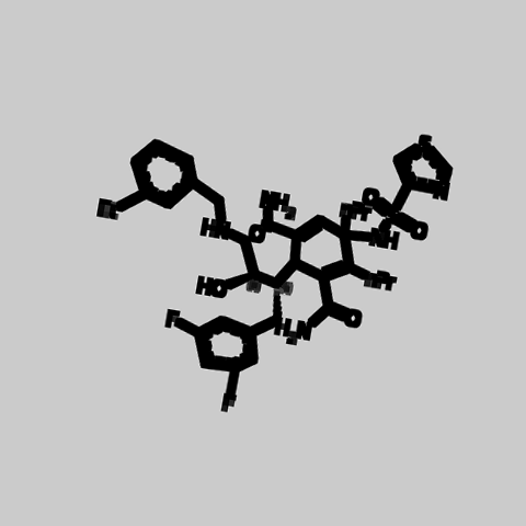 CCCC1=C(C(N)=O)C([C@H](Cc2cc(F)cc(F)c2)[C@@H](O)CNCc2cccc(CC)c2)C(C(N)=O)=CC1(CCC)NS(=O)(=O)c1cscn1